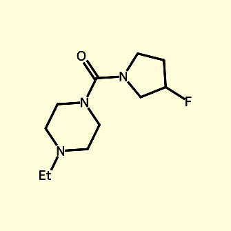 CCN1CCN(C(=O)N2CCC(F)C2)CC1